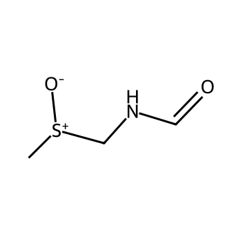 C[S+]([O-])CNC=O